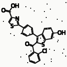 O=C(O)c1csc(-c2ccc(-c3c(C(=O)c4ccccc4Cl)sc4cc(O)ccc34)cc2)n1